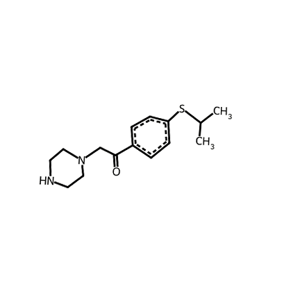 CC(C)Sc1ccc(C(=O)CN2CCNCC2)cc1